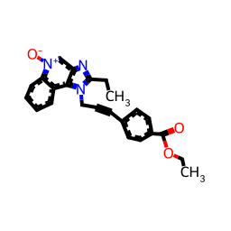 CCOC(=O)c1ccc(C#CCn2c(CC)nc3c[n+]([O-])c4ccccc4c32)cc1